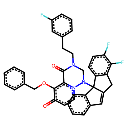 O=C1c2c(OCc3ccccc3)c(=O)ccn2N(C23C(=Cc4ccccc42)Cc2c3ccc(F)c2F)CN1CCc1cccc(F)c1